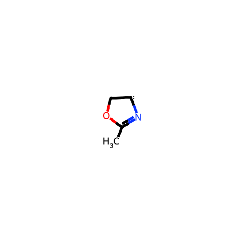 CC1=N[C]CO1